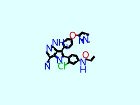 C=CC(=O)Nc1ccc(-c2c(-c3ccc(Oc4ccn(C)n4)cc3)c3c(N)ncc(C#N)c3n2C)c(Cl)c1